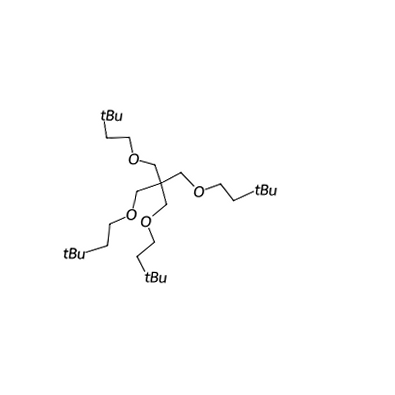 CC(C)(C)CCOCC(COCCC(C)(C)C)(COCCC(C)(C)C)COCCC(C)(C)C